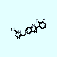 Fc1cccc(-c2nc3ccn(Cc4nsc(Cl)n4)cc-3n2)c1F